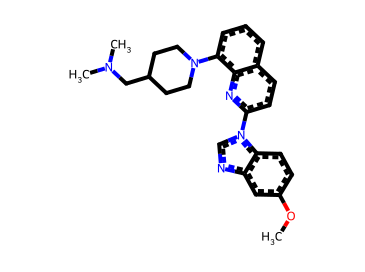 COc1ccc2c(c1)ncn2-c1ccc2cccc(N3CCC(CN(C)C)CC3)c2n1